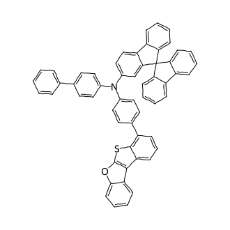 c1ccc(-c2ccc(N(c3ccc(-c4cccc5c4sc4oc6ccccc6c45)cc3)c3ccc4c(c3)C3(c5ccccc5-c5ccccc53)c3ccccc3-4)cc2)cc1